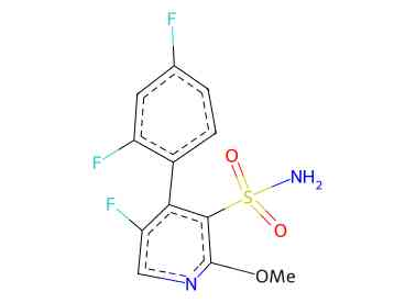 COc1ncc(F)c(-c2ccc(F)cc2F)c1S(N)(=O)=O